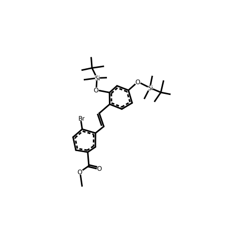 COC(=O)c1ccc(Br)c(/C=C/c2ccc(O[Si](C)(C)C(C)(C)C)cc2O[Si](C)(C)C(C)(C)C)c1